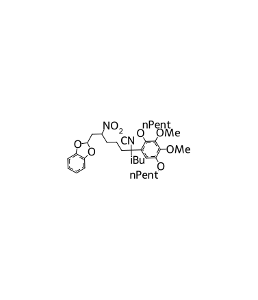 CCCCCOc1cc(C(C#N)(CCCC(CC2Oc3ccccc3O2)[N+](=O)[O-])C(C)CC)c(OCCCCC)c(OC)c1OC